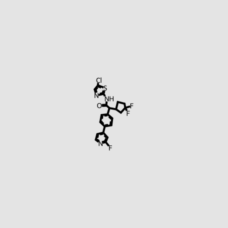 O=C(Nc1ncc(Cl)s1)C(c1ccc(-c2ccnc(F)c2)cc1)C1CCC(F)(F)C1